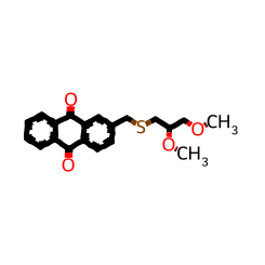 COCC(CSCc1ccc2c(c1)C(=O)c1ccccc1C2=O)OC